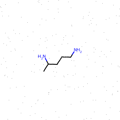 CC(N)CCCN